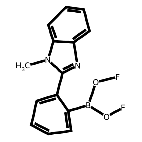 Cn1c(-c2ccccc2B(OF)OF)nc2ccccc21